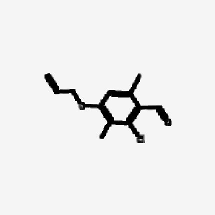 C=CCOc1cc(C)c(C=O)c(Cl)c1C